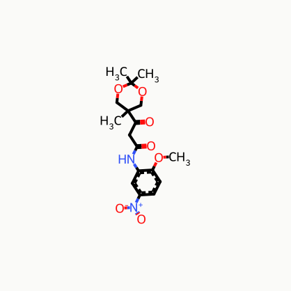 COc1ccc([N+](=O)[O-])cc1NC(=O)CC(=O)C1(C)COC(C)(C)OC1